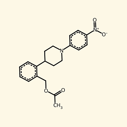 CC(=O)OCc1ccccc1C1CCN(c2ccc([N+](=O)[O-])cc2)CC1